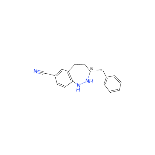 N#Cc1ccc2c(c1)CC[C@H](Cc1ccccc1)NN2